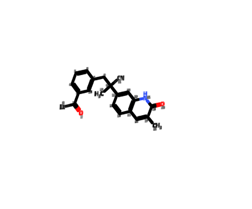 CCC(=O)c1cccc(CC(C)(C#N)c2ccc3cc(C)c(=O)[nH]c3c2)c1